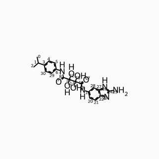 CC(C)c1ccc(NC(=O)C(O)(O)C(O)(O)C(=O)Nc2ccc3nc(N)[nH]c3c2)cc1